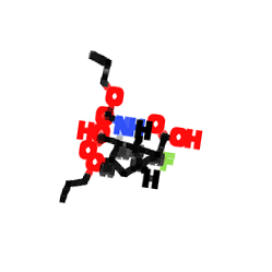 C=CCOC(=O)N[C@@]1(C(=O)O)[C@H](OCCC)C[C@@H]2[C@H]1[C@@]2(F)C(=O)O